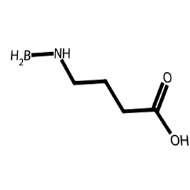 BNCCCC(=O)O